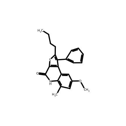 CCCCc1sc2c(=O)[nH]c3c(C)cc(OC)cc3c2c1-c1ccccc1